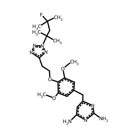 COc1cc(Cc2cc(N)nc(N)n2)cc(OC)c1OCCc1nnn(C(C)(C)CC(C)(C)F)n1